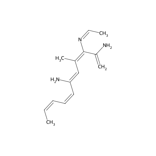 C=C(N)C(/N=C\C)=C(C)\C=C(N)\C=C/C=C\C